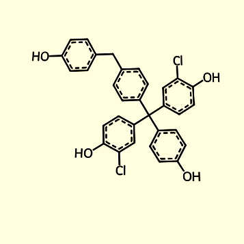 Oc1ccc(Cc2ccc(C(c3ccc(O)cc3)(c3ccc(O)c(Cl)c3)c3ccc(O)c(Cl)c3)cc2)cc1